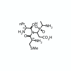 CCC[C@H](N)C(=O)N(C(=O)[C@@H](N)CSC)C(CC(=O)O)P(=O)(O)C(C)N